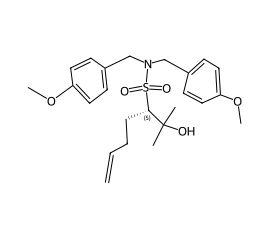 C=CCC[C@@H](C(C)(C)O)S(=O)(=O)N(Cc1ccc(OC)cc1)Cc1ccc(OC)cc1